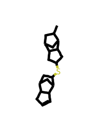 CC1CC2CC1C1CC(SC3CC4CC3C3C=CCC43)CC21